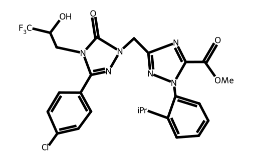 COC(=O)c1nc(Cn2nc(-c3ccc(Cl)cc3)n(CC(O)C(F)(F)F)c2=O)nn1-c1ccccc1C(C)C